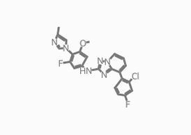 COc1cc(Nc2nc3c(-c4ccc(F)cc4Cl)cccn3n2)cc(F)c1-n1cnc(C)c1